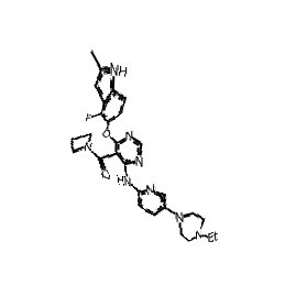 CCN1CCN(c2ccc(Nc3ncnc(Oc4ccc5[nH]c(C)cc5c4F)c3C(=O)N3CCC3)nc2)CC1